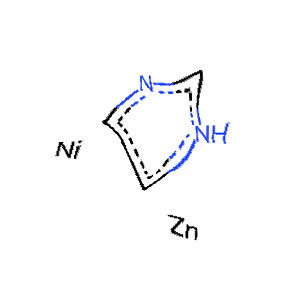 [Ni].[Zn].c1c[nH]cn1